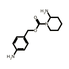 Nc1ccc(COC(=O)N2CCCCC2N)cc1